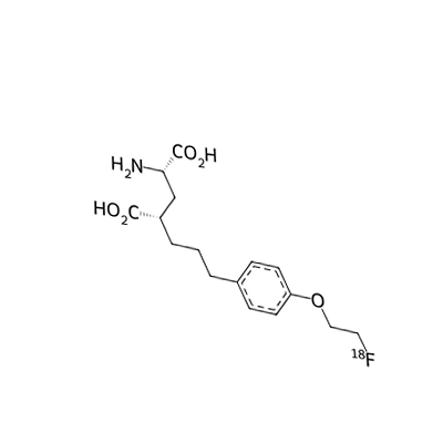 N[C@@H](C[C@H](CCCc1ccc(OCC[18F])cc1)C(=O)O)C(=O)O